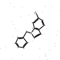 Clc1ccc2ccn(Cc3ccccc3)c2c1